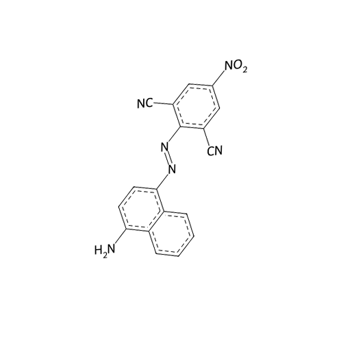 N#Cc1cc([N+](=O)[O-])cc(C#N)c1N=Nc1ccc(N)c2ccccc12